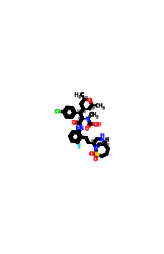 C[C@@H]1C[C@H]([C@H](c2ccc(Cl)cc2)[C@@H](C(=O)Nc2cccc(F)c2CC[C@H]2CN[C@@H]3CCCS(=O)(=O)N2C3)N(C)C(=O)O)C[C@H](C)O1